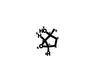 C[C@@]1(O)CC[C@@H]2O[C@@H]21